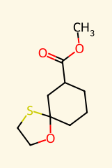 COC(=O)C1CCCC2(C1)OCCS2